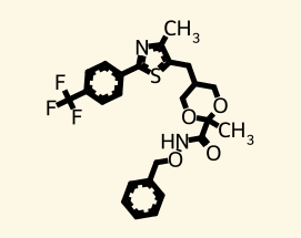 Cc1nc(-c2ccc(C(F)(F)F)cc2)sc1CC1COC(C)(C(=O)NOCc2ccccc2)OC1